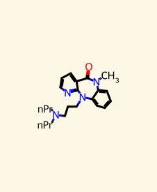 CCCN(CCC)CCCN1c2ccccc2N(C)C(=O)c2cccnc21